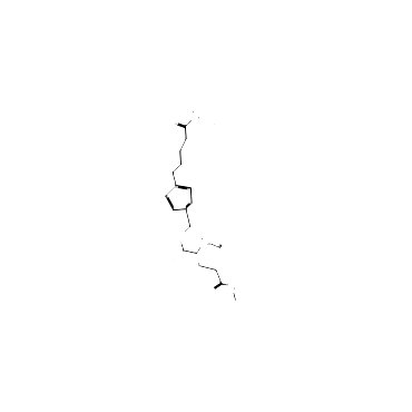 CNC(=O)CC[C@H](NC=O)[C@@H](C)OCc1ccc(CCCCC(N)=O)cc1